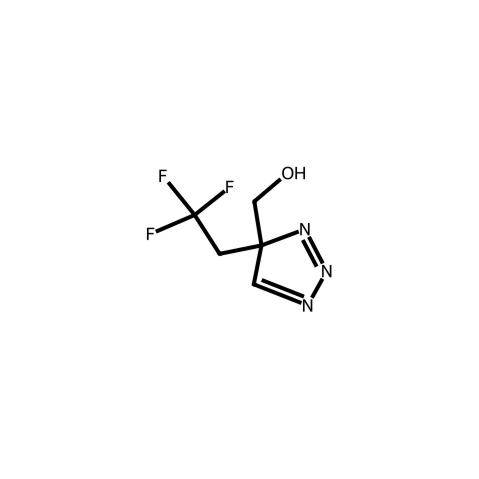 OCC1(CC(F)(F)F)C=NN=N1